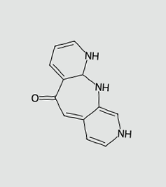 O=C1C=C2C=CNC=C2NC2NC=CC=C12